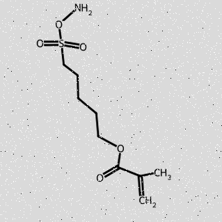 C=C(C)C(=O)OCCCCCS(=O)(=O)ON